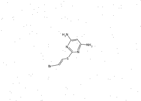 Nc1cc(N)nc(SC=CBr)n1